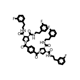 O=C(NCCc1cccc(F)c1)[C@H]1CN(C(=O)c2ccc(C(=O)N3C[C@H](C(=O)NCCc4cccc(F)c4)[C@@H](C(=O)NCCc4cccc(F)c4)C3)cc2)C[C@@H]1C(=O)NCCc1cccc(F)c1